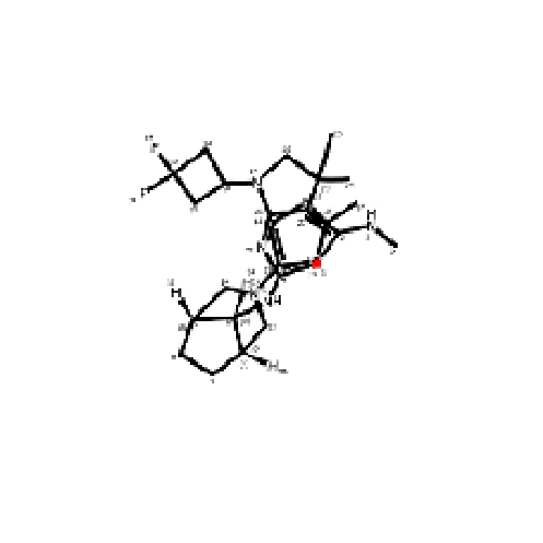 CNc1nc(N[C@H]2[C@@H]3CC[C@H]2CN(c2nnc(C)o2)C3)nc2c1C(C)(C)CN2C1CC(F)(F)C1